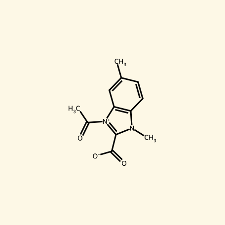 CC(=O)[n+]1c(C(=O)[O-])n(C)c2ccc(C)cc21